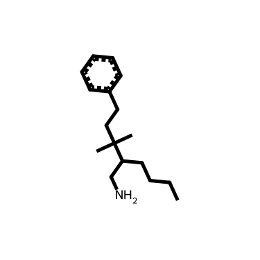 CCCCC(CN)C(C)(C)CCc1ccccc1